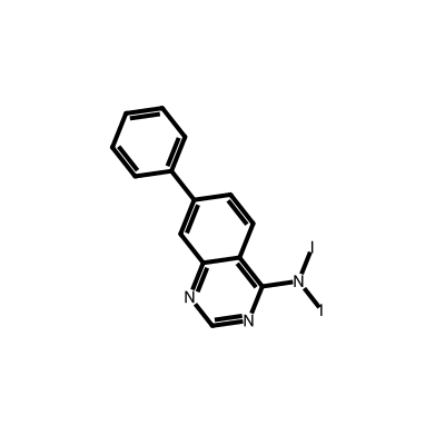 IN(I)c1ncnc2cc(-c3ccccc3)ccc12